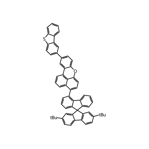 CC(C)(C)c1ccc2c(c1)C1(c3cc(C(C)(C)C)ccc3-2)c2ccccc2-c2c(-c3ccc4c5c(cccc35)-c3cc(-c5ccc6sc7ccccc7c6c5)ccc3O4)cccc21